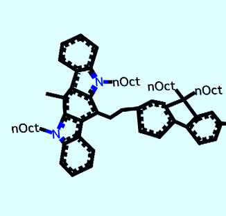 CCCCCCCCn1c2ccccc2c2c(CCc3ccc4c(c3)C(CCCCCCCC)(CCCCCCCC)c3cc(C)ccc3-4)c3c(c(C)c21)c1ccccc1n3CCCCCCCC